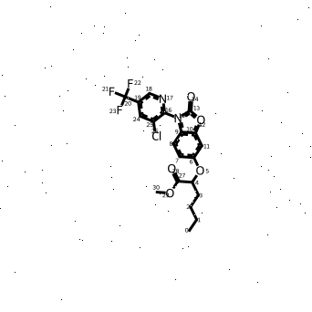 CCCCC(Oc1ccc2c(c1)oc(=O)n2-c1ncc(C(F)(F)F)cc1Cl)C(=O)OC